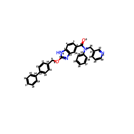 O=C(c1ccc2[nH]c(OCc3ccc(-c4ccccc4)cc3)nc2c1)N(Cc1cccnc1)c1ccccc1